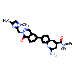 CCCN(CCC)C(=O)C1=Cc2ccc(-c3ccc4c(=O)n(Cc5nc(C)cn5C)ncc4c3)cc2N=C(N)C1